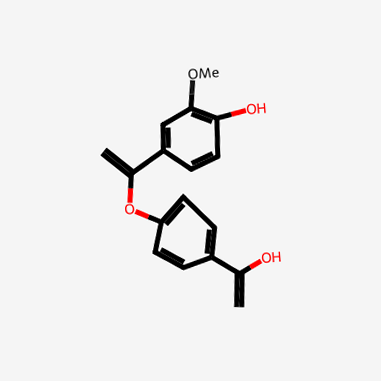 C=C(O)c1ccc(OC(=C)c2ccc(O)c(OC)c2)cc1